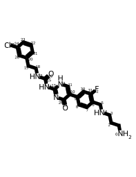 NCCCNCc1ccc(-c2c[nH]c(NC(=O)NCCc3cccc(Cl)c3)nc2=O)cc1F